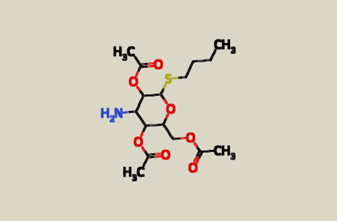 CCCCSC1OC(COC(C)=O)C(OC(C)=O)C(N)C1OC(C)=O